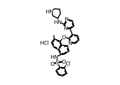 Cc1ccc2c(NS(=O)(=O)c3ccccc3Cl)cccc2c1Oc1ncccc1-c1ccnc(N[C@H]2CCCNC2)n1.Cl